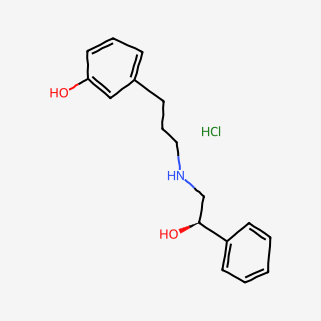 Cl.Oc1cccc(CCCNC[C@H](O)c2ccccc2)c1